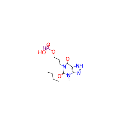 CCCC.Cn1c(=O)n(CCCO[PH](=O)O)c(=O)c2[nH]cnc21